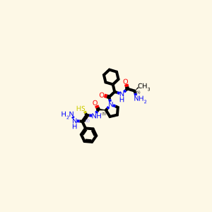 C[C@H](N)C(=O)NC(C(=O)N1CCC[C@H]1C(=O)N/C(S)=C(/NN)c1ccccc1)C1CCCCC1